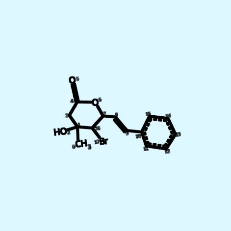 CC1(O)CC(=O)OC(C=Cc2ccccc2)C1Br